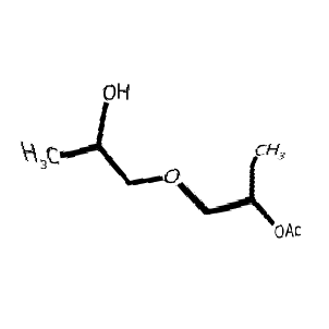 CC(=O)OC(C)COCC(C)O